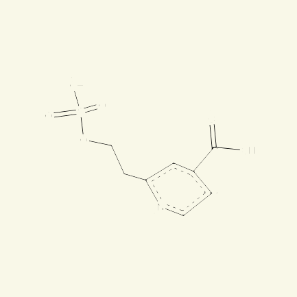 CC(=O)c1ccnc(CCOS(C)(=O)=O)c1